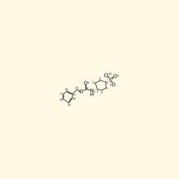 O=C(N[C@H]1CC[C@@H](S(=O)(=O)Cl)CC1)OCc1ccccc1